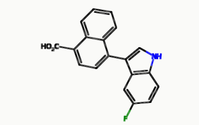 O=C(O)c1ccc(-c2c[nH]c3ccc(F)cc23)c2ccccc12